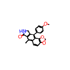 COc1ccc(-c2c3c(c(C)c4ccc5c(c24)OCO5)C(=O)NC3)cc1